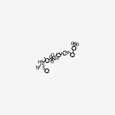 Cc1cc(S(=O)(=O)NC(=O)c2ccc(N3CCN(Cc4ccccc4-c4ccc(S(C)(=O)=O)cc4)CC3)cc2)ccc1N[C@H](CCN(C)C)CSc1ccccc1